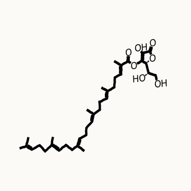 CC(C)=CCC/C(C)=C/CC/C(C)=C/CC/C=C(\C)CC/C=C(\C)CCC=C(C)C(=O)OC1=C(O)C(=O)O[C@@H]1[C@@H](O)CO